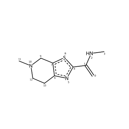 C=C(NC)c1nc2c(s1)CN(C)CC2